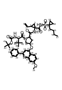 C=CC1CC1(NC(=O)C1CC(Oc2cc(-c3ccccc3)nc3cc(OC)ccc23)CN1C(=O)C(NC(=O)OC(C)(C)C)C(C)(C)C)C(=O)NS(=O)(=O)C1(CCCC)CC1